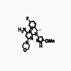 COc1cc(N(c2nc(N)cc(N3CCOCC3)n2)[C@@H](C)c2ccc(F)cn2)n[nH]1